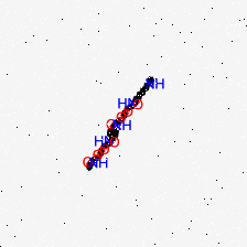 CCC(=O)NCCOCCOCCNC(=O)c1ccc(C(=O)NCCOCCOCCNC(=O)CCCCCCCNC(C)C)cc1